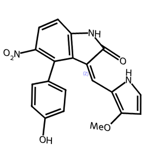 COc1cc[nH]c1/C=C1\C(=O)Nc2ccc([N+](=O)[O-])c(-c3ccc(O)cc3)c21